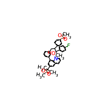 CC(O)(c1ccc(F)cc1)C(Cc1cccc(-c2cc(C(C)(C)S(C)(=O)=O)cc3cccnc23)c1)c1ccc(S(C)(=O)=O)cc1